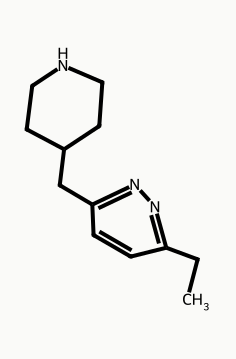 CCc1ccc(CC2CCNCC2)nn1